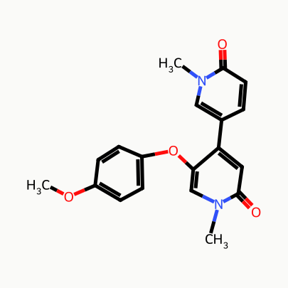 COc1ccc(Oc2cn(C)c(=O)cc2-c2ccc(=O)n(C)c2)cc1